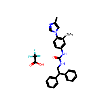 COc1cc(NC(=O)NCC(c2ccccc2)c2ccccc2)ccc1-n1cnc(C)c1.O=C(O)C(F)(F)F